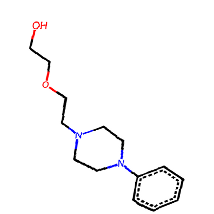 OCCOCCN1CCN(c2ccccc2)CC1